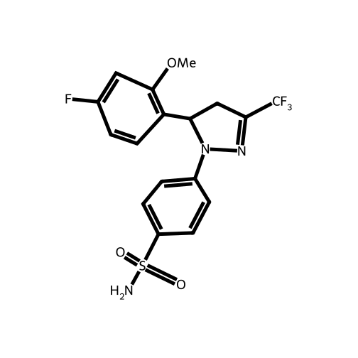 COc1cc(F)ccc1C1CC(C(F)(F)F)=NN1c1ccc(S(N)(=O)=O)cc1